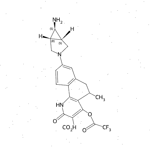 CC1Cc2cc(N3C[C@@H]4[C@@H](N)[C@@H]4C3)ccc2-c2[nH]c(=O)c(C(=O)O)c(OC(=O)C(F)(F)F)c21